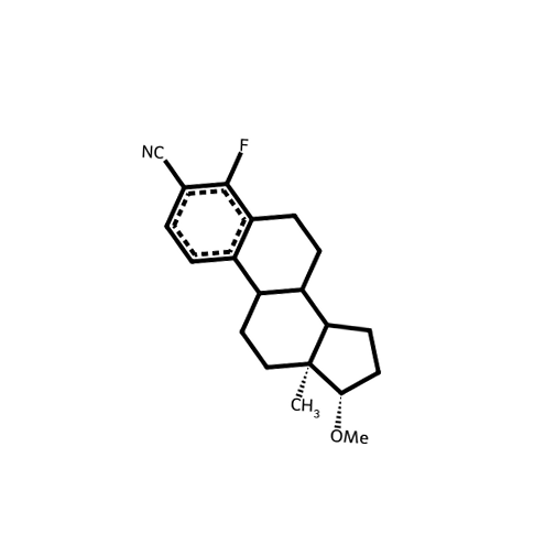 CO[C@H]1CCC2C3CCc4c(ccc(C#N)c4F)C3CC[C@@]21C